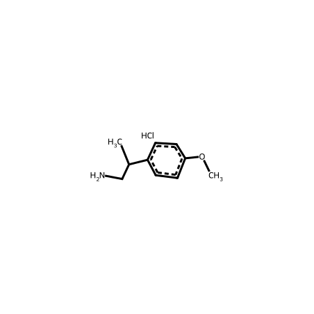 COc1ccc(C(C)CN)cc1.Cl